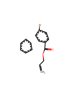 C=CCOC(=O)c1ccc(Br)cc1.c1ccccc1